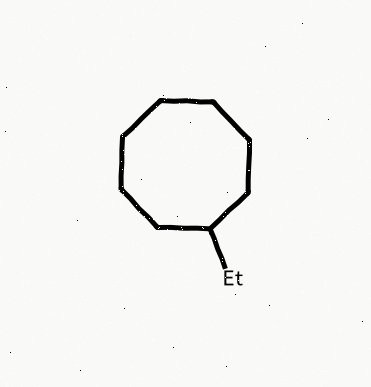 CC[C]1CCCCCCC1